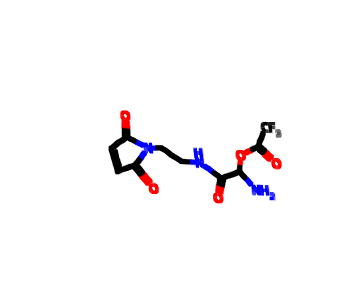 NC(OC(=O)C(F)(F)F)C(=O)NCCN1C(=O)C=CC1=O